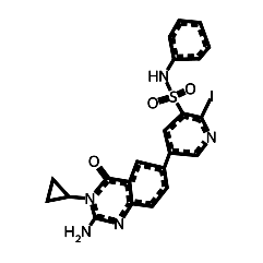 Nc1nc2ccc(-c3cnc(I)c(S(=O)(=O)Nc4ccccc4)c3)cc2c(=O)n1C1CC1